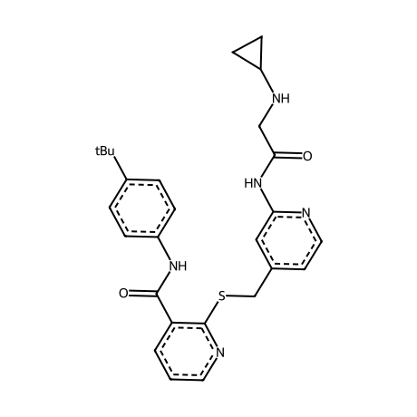 CC(C)(C)c1ccc(NC(=O)c2cccnc2SCc2ccnc(NC(=O)CNC3CC3)c2)cc1